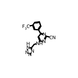 N#Cc1nc(NCc2nnn[nH]2)cc(-c2cccc(C(F)(F)F)c2)n1